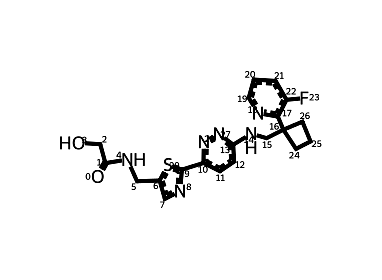 O=C(CO)NCc1cnc(-c2ccc(NCC3(c4ncccc4F)CCC3)nn2)s1